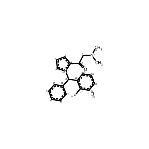 CN(C)CC(=O)c1cccn1C(c1ccccc1)c1ccccc1F.Cl